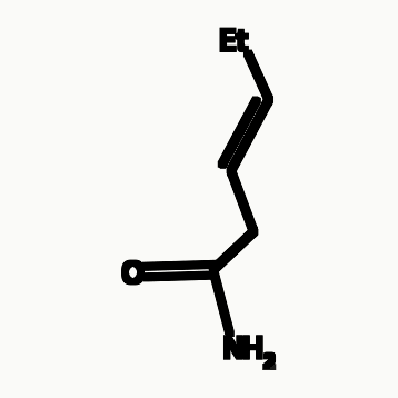 [CH2]CC=CCC(N)=O